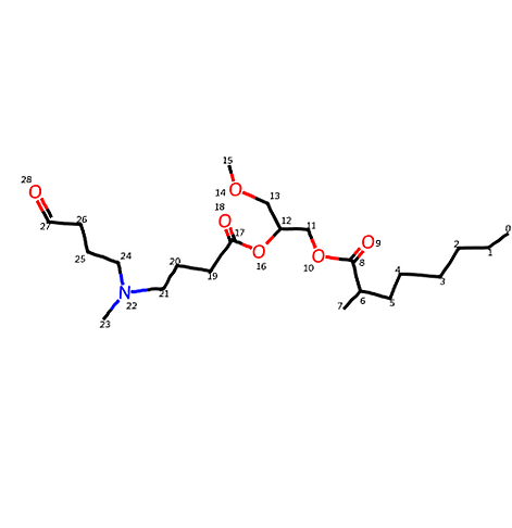 CCCCCCC(C)C(=O)OCC(COC)OC(=O)CCCN(C)CCCC=O